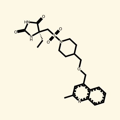 CC[C@]1(CS(=O)(=O)N2CCC(COCc3cc(C)nc4ccccc34)CC2)NC(=O)NC1=O